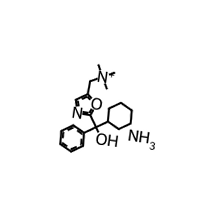 C[N+](C)(C)Cc1cnc(C(O)(c2ccccc2)C2CCCCC2)o1.N